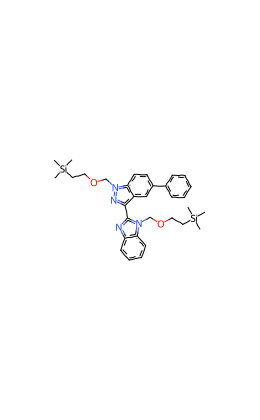 C[Si](C)(C)CCOCn1nc(-c2nc3ccccc3n2COCC[Si](C)(C)C)c2cc(-c3ccccc3)ccc21